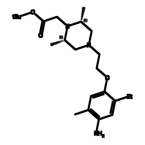 CCc1cc(N)c(C)cc1OCCN1C[C@@H](C)N(CC(=O)OC(C)(C)C)[C@@H](C)C1